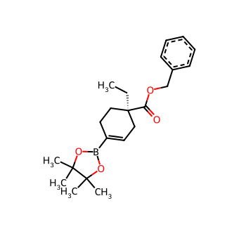 CC[C@]1(C(=O)OCc2ccccc2)CC=C(B2OC(C)(C)C(C)(C)O2)CC1